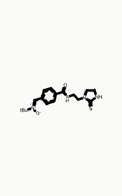 CC(C)(C)/[N+]([O-])=C/c1ccc(C(=O)NCCN2CCNC2=S)cc1